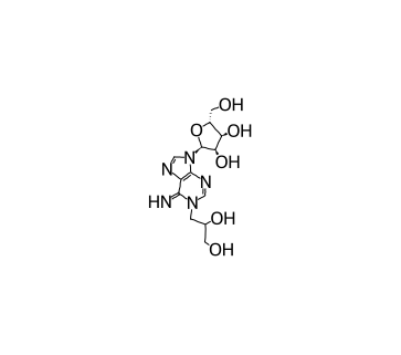 N=c1c2ncn([C@H]3O[C@H](CO)[C@@H](O)[C@H]3O)c2ncn1CC(O)CO